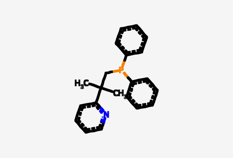 CC(C)(CP(c1ccccc1)c1ccccc1)c1ccccn1